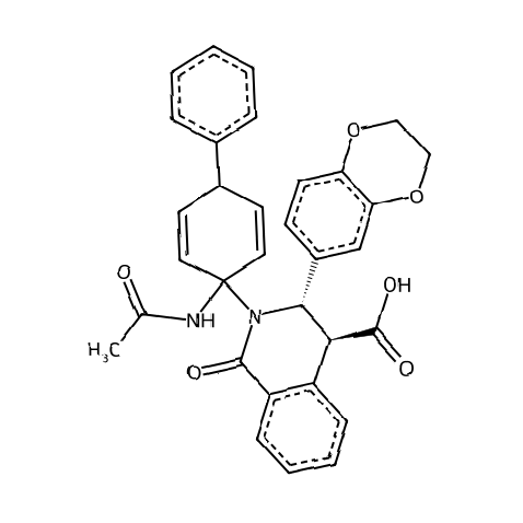 CC(=O)NC1(N2C(=O)c3ccccc3[C@H](C(=O)O)[C@H]2c2ccc3c(c2)OCCO3)C=CC(c2ccccc2)C=C1